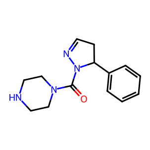 O=C(N1CCNCC1)N1N=CCC1c1ccccc1